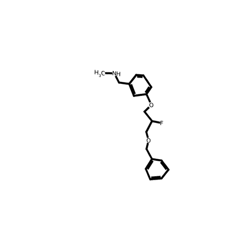 CNCc1cccc(OCC(F)COCc2ccccc2)c1